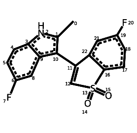 Cc1[nH]c2ccc(F)cc2c1C1=CS(=O)(=O)c2ccc(F)cc21